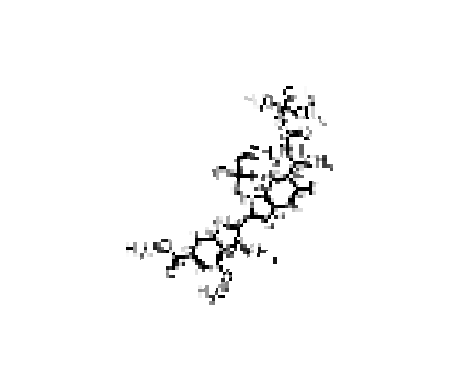 C=CC(F)(F)Cn1c(-c2nc3cc(C(=O)OC)cc(OC)c3n2C)cc2cc(F)c(C(C)NC(=O)OC(C)(C)C)cc21